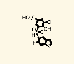 O=C(O)c1cc(Cl)c(O)c(S(=O)(=O)Nc2cc3ccsc3cc2F)c1